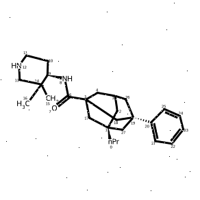 CCC[C@]12CC3CC(C(=O)N[C@@H]4CCNCC4(C)C)(C1)C[C@@](c1ccccc1)(C3)C2